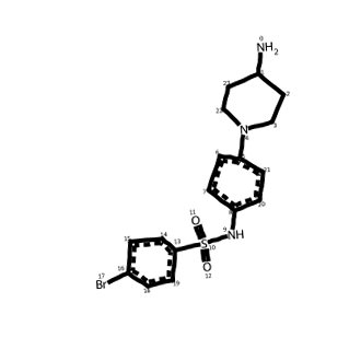 NC1CCN(c2ccc(NS(=O)(=O)c3ccc(Br)cc3)cc2)CC1